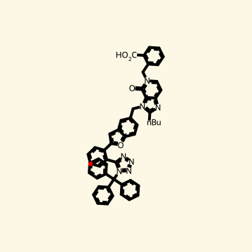 CCCCc1nc2ccn(Cc3ccccc3C(=O)O)c(=O)c2n1Cc1ccc2oc(-c3ccccc3-c3nnnn3C(c3ccccc3)(c3ccccc3)c3ccccc3)cc2c1